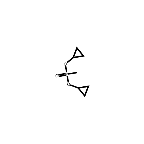 CP(=O)(OC1CC1)OC1CC1